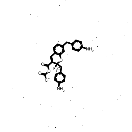 Nc1ccc(Cc2ccc3c(c2)OC(Cc2ccc(N)cc2)(C(F)(F)F)C(C(=O)OC(=O)C(F)(F)F)=C3)cc1